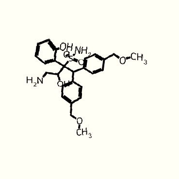 COCc1ccc(C(c2ccc(COC)cc2)C(c2ccccc2O)(C(O)CN)S(N)(=O)=O)cc1